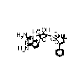 CC1(C)CC(c2ccccc2)OP(=O)(OC[C@H]2O[C@@H](n3ccc4c(N)nc(N)nc43)[C@](C)(O)[C@@H]2O)O1